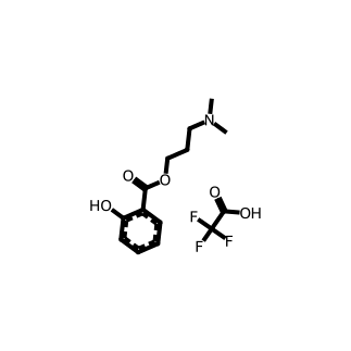 CN(C)CCCOC(=O)c1ccccc1O.O=C(O)C(F)(F)F